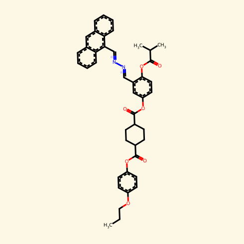 CCCOc1ccc(OC(=O)C2CCC(C(=O)Oc3ccc(OC(=O)C(C)C)c(/C=N/N=C/c4c5ccccc5cc5ccccc45)c3)CC2)cc1